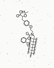 CCOC(Cc1ccc(OCCN(CC(F)(F)C(F)(F)C(F)(F)C(F)(F)C(F)(F)C(F)(F)F)C(=O)Oc2ccccc2OC)cc1)C(=O)O